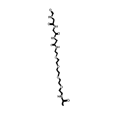 CCC(=O)NCCOCCOCCOCCOCCNC(=O)CNC(=O)CNC(=O)CNC=O